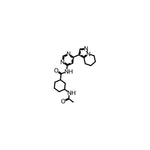 CC(=O)NC1CCCC(C(=O)Nc2cc(-c3cnn4c3CCCC4)ncn2)C1